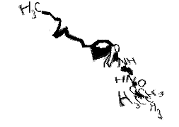 CCCCCCCCCCc1ccc2oc(NCCNC(=O)OC(C)(C)C)nc2c1